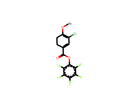 CC(C)OC1=C(Cl)C=C(C(=O)Oc2c(F)c(F)c(F)c(F)c2F)CC1